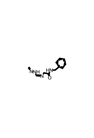 C=NN/C=N\CC(=O)NCc1ccccc1